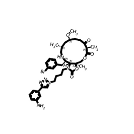 CO[C@H]1CCC(=O)[C@@H](C)C(=O)OC[C@@]2(C)OC(=O)N(CCCCn3cc(-c4cccc(N)c4)nn3)[C@@H]2[C@@H](Cc2cccc(Br)c2)NC[C@H](C)C1